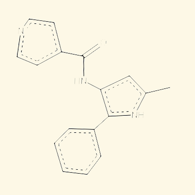 Cc1cc(NC(=O)c2ccncc2)c(-c2ccccc2)[nH]1